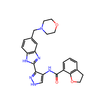 O=C(Nc1c[nH]nc1-c1nc2cc(CN3CCOCC3)ccc2[nH]1)c1cccc2c1OCC2